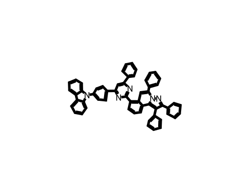 c1ccc(-c2cc(-c3ccc(-n4c5ccccc5c5ccccc54)cc3)nc(-c3cccc4c3cc(-c3ccccc3)n3nc(-c5ccccc5)c(-c5ccccc5)c43)n2)cc1